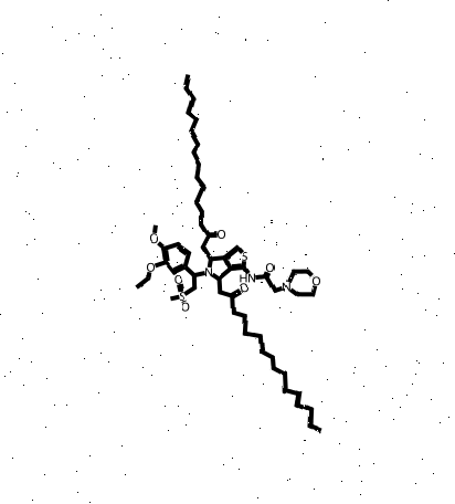 CCCCCCCCCCCCCCC(=O)CC1c2csc(NC(=O)CN3CCOCC3)c2C(CC(=O)CCCCCCCCCCCCCC)N1C(CS(C)(=O)=O)c1ccc(OC)c(OCC)c1